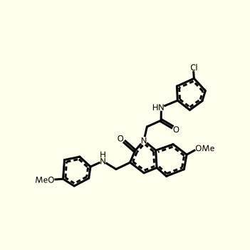 COc1ccc(NCc2cc3ccc(OC)cc3n(CC(=O)Nc3cccc(Cl)c3)c2=O)cc1